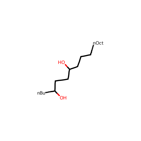 CCCCCCCCCCCC(O)CCC(O)CCCC